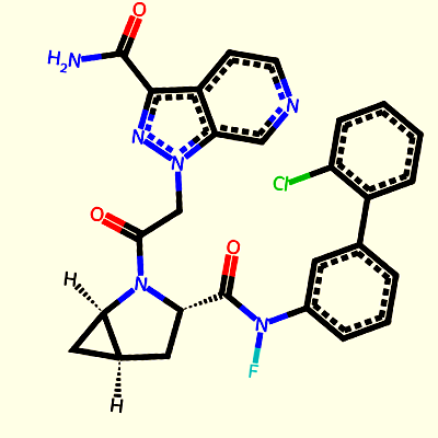 NC(=O)c1nn(CC(=O)N2[C@@H]3C[C@@H]3C[C@H]2C(=O)N(F)c2cccc(-c3ccccc3Cl)c2)c2cnccc12